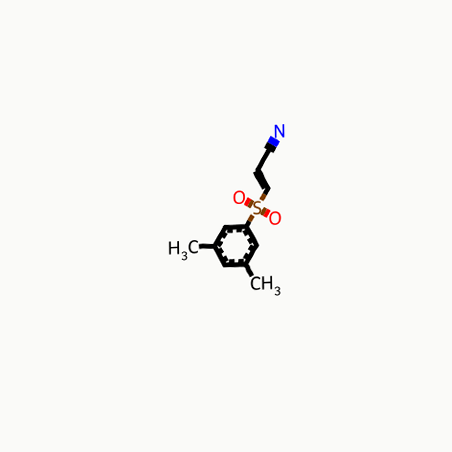 Cc1cc(C)cc(S(=O)(=O)C=CC#N)c1